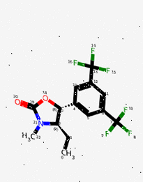 CC[C@@H]1[C@@H](c2cc(C(F)(F)F)cc(C(F)(F)F)c2)OC(=O)N1C